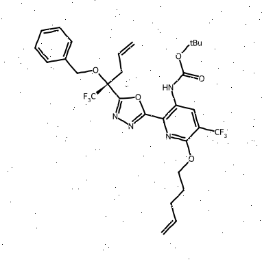 C=CCCCOc1nc(-c2nnc([C@@](CC=C)(OCc3ccccc3)C(F)(F)F)o2)c(NC(=O)OC(C)(C)C)cc1C(F)(F)F